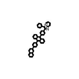 c1ccc(-c2c(-c3ccc(-c4c5ccccc5c(-c5ccc(-c6ccc7ccccc7c6)cc5)c5ccccc45)cc3)nc3ccccn23)cc1